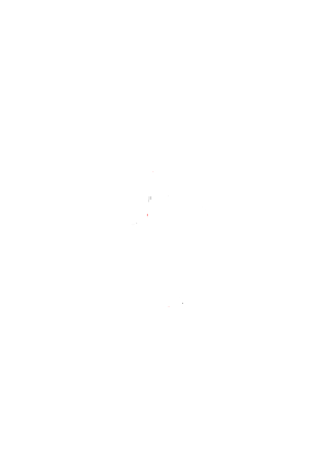 CCOC(OCC)[Si](C)(OCC)OC(C)CCOCC1CO1